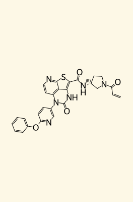 C=CC(=O)N1CC[C@@H](NC(=O)c2sc3nccc4c3c2NC(=O)N4c2ccc(Oc3ccccc3)nc2)C1